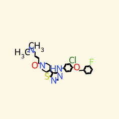 CN(C)CC=CC(=O)N1CCc2c(sc3ncnc(Nc4ccc(OCc5cccc(F)c5)c(Cl)c4)c23)C1